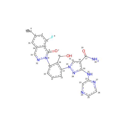 CC(C)(C)c1cc(F)c2c(=O)n(-c3cccc(-n4cc(C(N)=O)c(Nc5cnccn5)n4)c3CO)ncc2c1